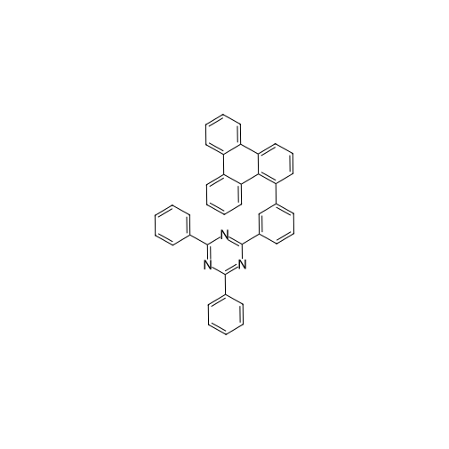 c1ccc(-c2nc(-c3ccccc3)nc(-c3cccc(-c4cccc5c6ccccc6c6ccccc6c45)c3)n2)cc1